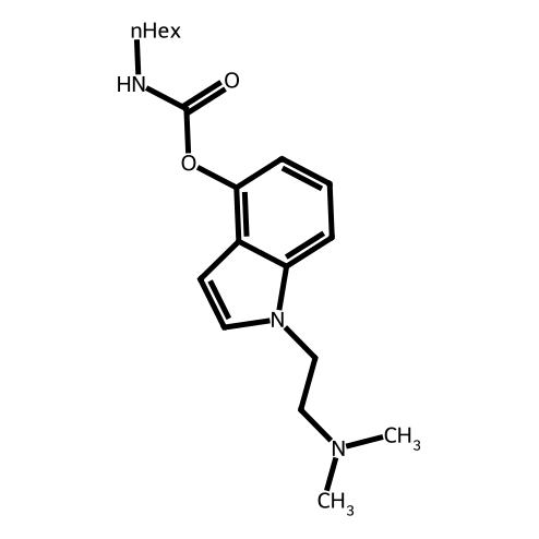 CCCCCCNC(=O)Oc1cccc2c1ccn2CCN(C)C